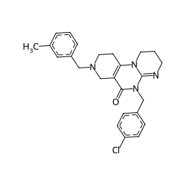 Cc1cccc(CN2CCC3=C(C2)C(=O)N(Cc2ccc(Cl)cc2)C2=NCCCN23)c1